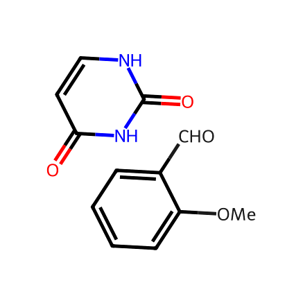 COc1ccccc1C=O.O=c1cc[nH]c(=O)[nH]1